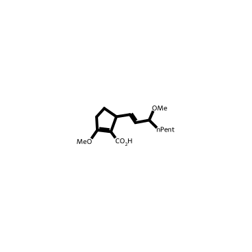 CCCCCC(C=CC1CCC(OC)=C1C(=O)O)OC